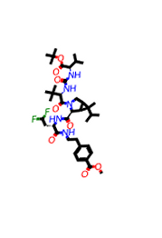 COC(=O)c1ccc(CCNC(=O)[C@H](CC(F)F)NC(=O)[C@@H]2C3C(CN2C(=O)[C@@H](NC(=O)N[C@H](C(=O)OC(C)(C)C)C(C)C)C(C)(C)C)C3(C)C(C)C)cc1